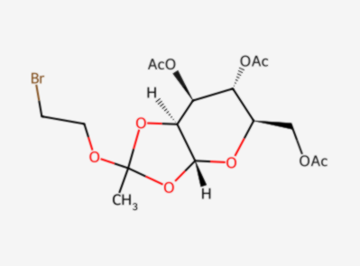 CC(=O)OC[C@H]1O[C@@H]2OC(C)(OCCBr)O[C@H]2[C@@H](OC(C)=O)[C@@H]1OC(C)=O